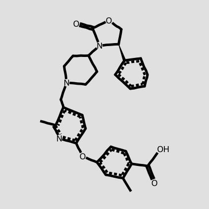 Cc1cc(Oc2ccc(CN3CCC(N4C(=O)OC[C@H]4c4ccccc4)CC3)c(C)n2)ccc1C(=O)O